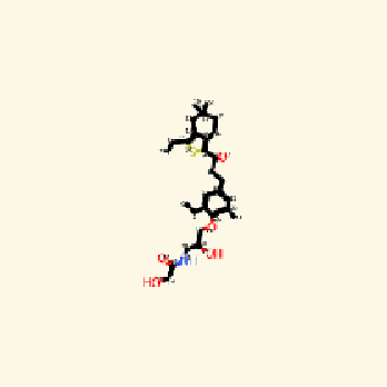 CCc1cc(CCC(=O)c2sc(CC)c3c2CCC(C)(C)C3)cc(C)c1OCC(O)CNC(=O)CO